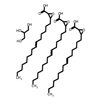 CCCCCCCCC=CCCCCCC1OC1C(=O)O.CCCCCCCCC=CCCCCCC1OC1C(=O)O.CCCCCCCCC=CCCCCCC1OC1C(=O)O.OCC(O)CO